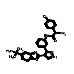 CC(C(=O)Nc1cccc(-c2n[nH]cc2-c2nc3cc(C(C)(C)C)ccc3o2)c1)c1ccc(Cl)cc1